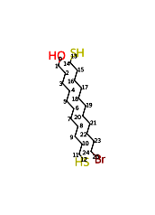 OCCCCCCCCCCCS.SCCCCCCCCCCCBr